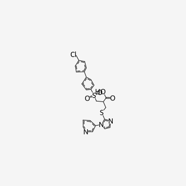 O=C(O)C(CSc1nccn1-c1cccnc1)CS(=O)(=O)c1ccc(-c2ccc(Cl)cc2)cc1